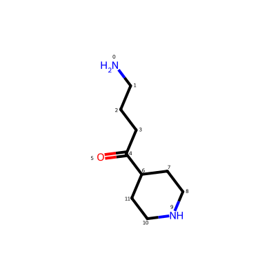 NCCCC(=O)C1CCNCC1